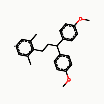 COc1ccc(C(CCc2c(C)c[c]cc2C)c2ccc(OC)cc2)cc1